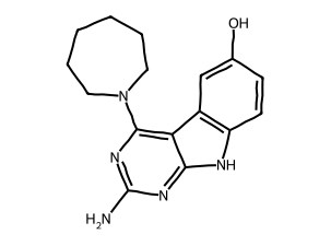 Nc1nc(N2CCCCCC2)c2c(n1)[nH]c1ccc(O)cc12